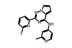 Cc1cc(Nc2nc(-c3cccc(F)n3)nn3cccc23)ccn1